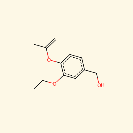 C=C(C)Oc1ccc(CO)cc1OCC